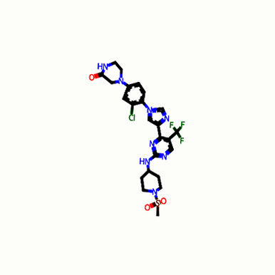 CS(=O)(=O)N1CCC(Nc2ncc(C(F)(F)F)c(-c3cn(-c4ccc(N5CCNC(=O)C5)cc4Cl)cn3)n2)CC1